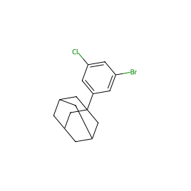 Clc1cc(Br)cc(C23CC4CC(CC(C4)C2)C3)c1